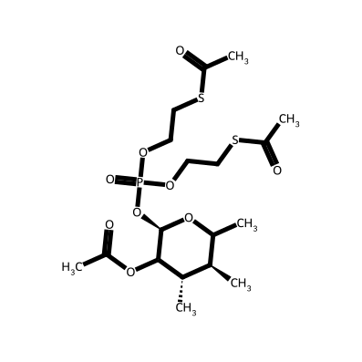 CC(=O)OC1[C@@H](OP(=O)(OCCSC(C)=O)OCCSC(C)=O)OC(C)[C@@H](C)[C@@H]1C